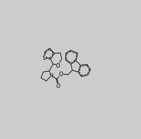 O=C(OCC1c2ccccc2-c2ccccc21)N1CCCC1C1OCCc2ccsc21